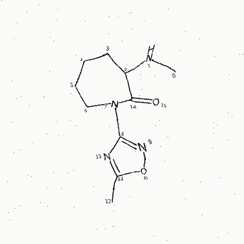 CNC1CCCCN(c2noc(C)n2)C1=O